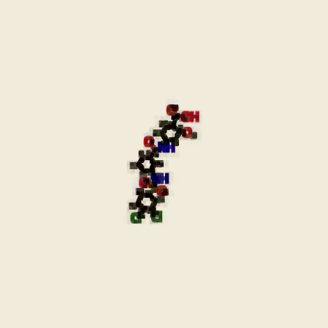 COc1cc(NC(=O)c2cccc(NS(=O)(=O)c3ccc(Cl)c(Cl)c3)c2)ccc1C(=O)O